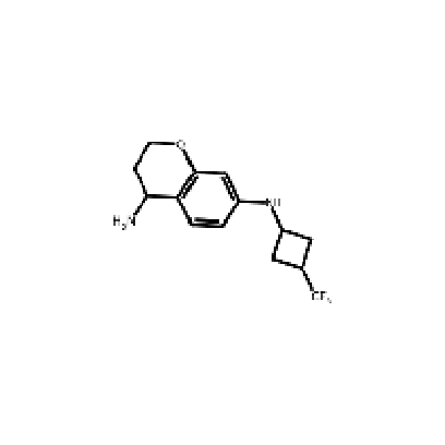 NC1CCOc2cc(NC3CC(C(F)(F)F)C3)ccc21